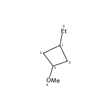 CC[C]1CC(OC)C1